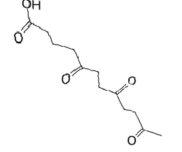 CC(=O)CCC(=O)CCC(=O)CCCC(=O)O